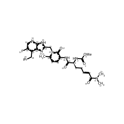 COC(=O)N[C@@H](CC/C=C/C(=O)N(C)C)C(=O)Nc1ccc(C)n(Cc2nc3c(CC(C)C)c(F)cnc3[nH]2)c1=O